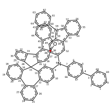 c1ccc(-c2ccc(N(c3ccc4c(c3)C3(c5ccccc5-c5ccccc5-4)c4ccccc4-c4c3ccc3oc5ccccc5c43)c3ccc4c(c3)c3ccccc3n4-c3ccccc3)cc2)cc1